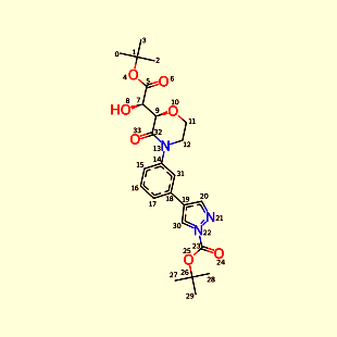 CC(C)(C)OC(=O)[C@H](O)[C@H]1OCCN(c2cccc(-c3cnn(C(=O)OC(C)(C)C)c3)c2)C1=O